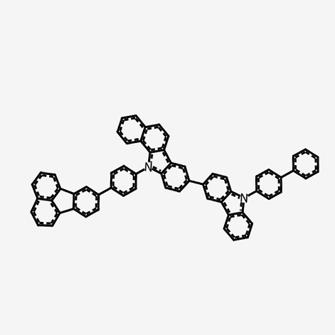 c1ccc(-c2ccc(-n3c4ccccc4c4cc(-c5ccc6c(c5)c5ccc7ccccc7c5n6-c5ccc(-c6ccc7c(c6)-c6cccc8cccc-7c68)cc5)ccc43)cc2)cc1